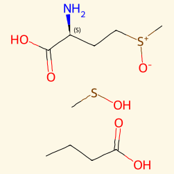 CCCC(=O)O.CSO.C[S+]([O-])CC[C@H](N)C(=O)O